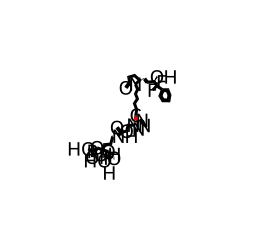 O=C(NCCCC(O)(OP(O)O)O[PH](=O)O)OCn1nnnc1CCCCCCN1C(=O)CC[C@@H]1/C=C/[C@@H](O)C(F)(F)c1ccccc1